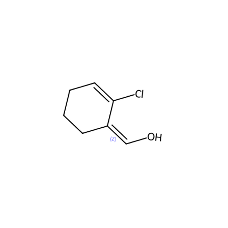 O/C=C1/CCCC=C1Cl